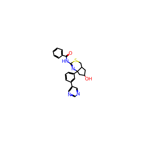 O=C(NC1=NC2(c3cccc(-c4cncnc4)c3)CC(O)CC2CS1)c1ccccc1